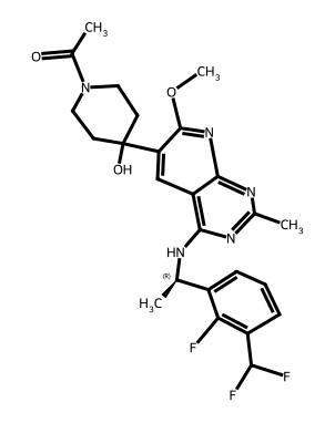 COc1nc2nc(C)nc(N[C@H](C)c3cccc(C(F)F)c3F)c2cc1C1(O)CCN(C(C)=O)CC1